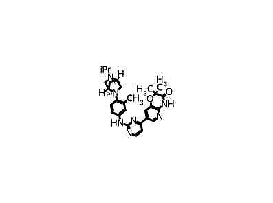 Cc1cc(Nc2nccc(-c3cnc4c(c3)OC(C)(C)C(=O)N4)n2)ccc1N1C[C@@H]2C[C@H]1CN2C(C)C